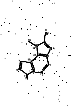 CC(C)c1nc2cnc3[nH]ccc3c2n1C